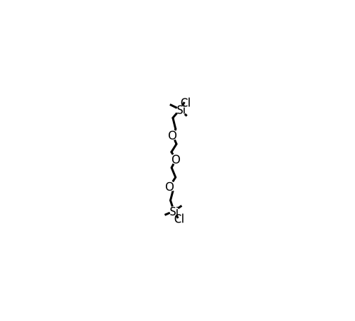 C[Si](C)(Cl)CCOCCOCCOCC[Si](C)(C)Cl